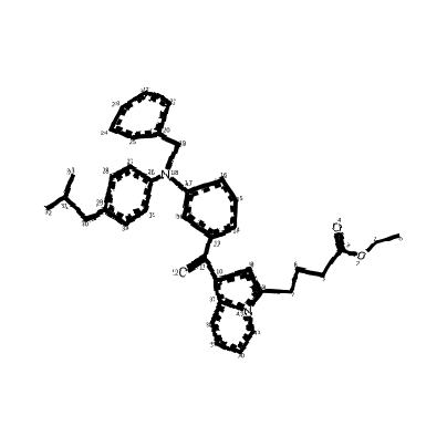 CCOC(=O)CCCc1cc(C(=O)c2cccc(N(Cc3ccccc3)c3ccc(CC(C)C)cc3)c2)c2ccccn12